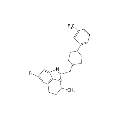 CC1CCc2cc(F)cc3nc(CN4CCC(c5cccc(C(F)(F)F)c5)CC4)n1c23